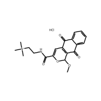 COC1OC(C(=O)NCC[N+](C)(C)C)=CC2=C1C(=O)c1ccccc1C2=O.Cl